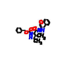 CCC(C)[C@H](NC(=O)OCc1ccccc1)C(=O)N[C@H](C=O)Cc1ccccc1